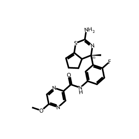 COc1cnc(C(=O)Nc2ccc(F)c([C@@]3(C)N=C(N)SC4=CCCC43)c2)cn1